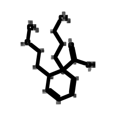 CCCCC1(C(=O)O)C=CC=CC1CCOC